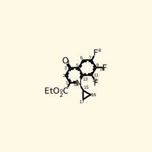 CCOC(=O)c1cc(=O)c2cc(F)c(F)c(F)c2n1C1CC1